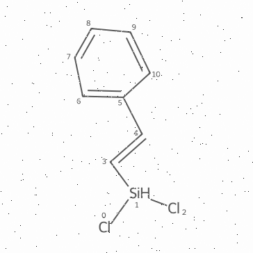 Cl[SiH](Cl)C=Cc1ccccc1